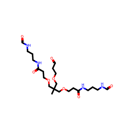 CC(COCCC=O)(COCCC(=O)NCCCNC=O)COCCC(=O)NCCCNC=O